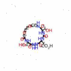 O=C(O)C[C@@H]1NC(=O)N[C@H](CO)C(=O)NCCOCCOCC(=O)N[C@@H](CO)C(=O)NNC1=O